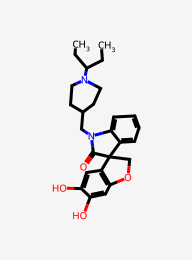 CCC(CC)N1CCC(CN2C(=O)C3(COc4cc(O)c(O)cc43)c3ccccc32)CC1